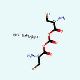 N[C@@H](CS)C(=O)OC(=O)OC(=O)[C@@H](N)CS.[NaH].[NaH].[NaH].[NaH]